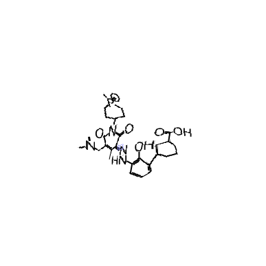 CC1=C(CN(C)C)C(=O)N(C2CCP(C)(=O)CC2)C(=O)/C1=N/Nc1cccc(C2CCCC(C(=O)O)C2)c1O